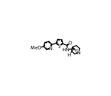 COc1ccc(-c2ccc(C(=O)N[C@H]3CN4CCC3CC4)s2)nc1